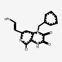 CCCC=Cc1cc2c([nH]c(=O)c(=O)n2Cc2ccccc2)c(Cl)n1